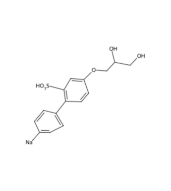 O=S(=O)(O)c1cc(OCC(O)CO)ccc1-c1cc[c]([Na])cc1